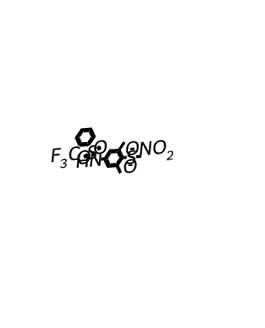 Cc1cc(NS(=O)(=O)c2ccccc2C(F)(F)F)cc(C)c1S(=O)(=O)C[N+](=O)[O-]